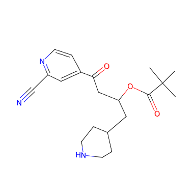 CC(C)(C)C(=O)OC(CC(=O)c1ccnc(C#N)c1)CC1CCNCC1